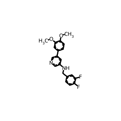 COc1ccc(-c2cncc(NCc3ccc(F)c(F)c3)c2)cc1OC